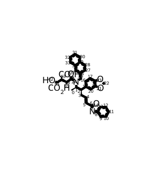 C[C@H]([C@H](C/C=C/c1nc2ccccc2o1)c1ccc2c(c1)OCO2)N(Cc1ccc2ccccc2c1)C(=O)[C@@H](C(=O)O)[C@@H](CO)C(=O)O